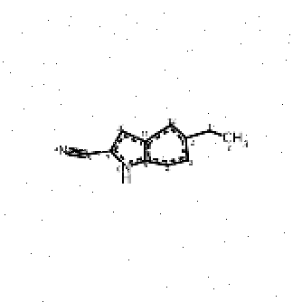 CCc1ccc2[nH]c(C#N)cc2c1